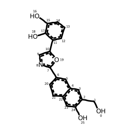 OCc1cc2cc(-c3ncc(-c4cccc(O)c4O)o3)ccc2cc1O